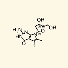 Cc1c(C)n([C@H]2C[C@H](O)[C@@H](CO)O2)c2nc(N)[nH]c(=O)c12